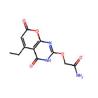 CCc1cc(=O)oc2nc(OCC(N)=O)[nH]c(=O)c12